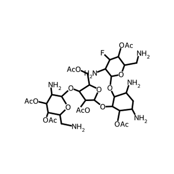 CC(=O)OCC1OC(OC2C(OC(C)=O)C(N)CC(N)C2OC2OC(CN)C(OC(C)=O)C(F)C2N)C(OC(C)=O)C1OC1OC(CN)C(OC(C)=O)C(OC(C)=O)C1N